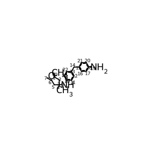 CCCC(C)(CC1CO1)Nc1ccc(Cc2ccc(N)cc2)cc1